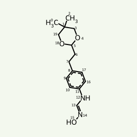 CC1(C)COC(CCc2ccc(N/C=N/O)cc2)OC1